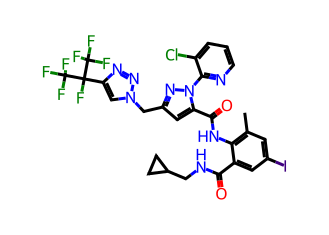 Cc1cc(I)cc(C(=O)NCC2CC2)c1NC(=O)c1cc(Cn2cc(C(F)(C(F)(F)F)C(F)(F)F)nn2)nn1-c1ncccc1Cl